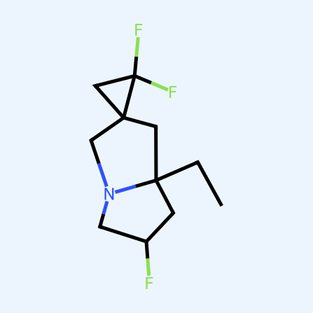 CCC12CC(F)CN1CC1(C2)CC1(F)F